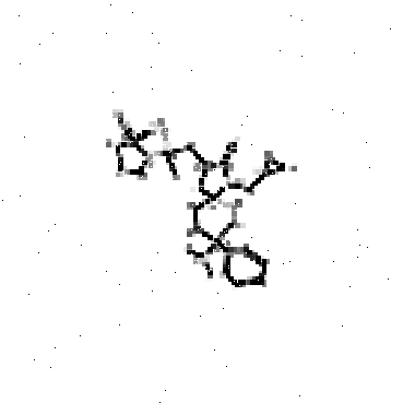 CN(C)[C@]1(c2ccccc2)CC[C@]2(CC1)CN(CC(C)(C)N1CCCS1(=O)=O)C(=O)N2CC1CC1